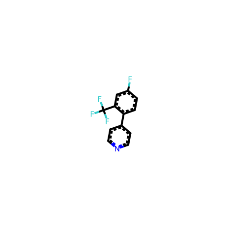 Fc1ccc(-c2ccncc2)c(C(F)(F)F)c1